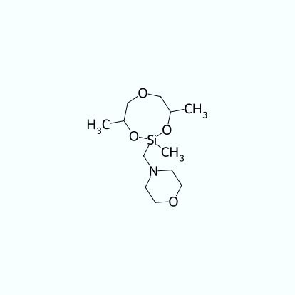 CC1COCC(C)O[Si](C)(CN2CCOCC2)O1